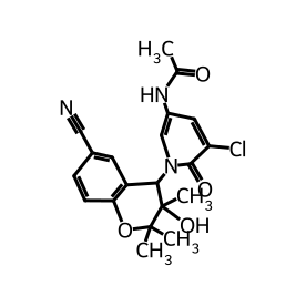 CC(=O)Nc1cc(Cl)c(=O)n(C2c3cc(C#N)ccc3OC(C)(C)C2(C)O)c1